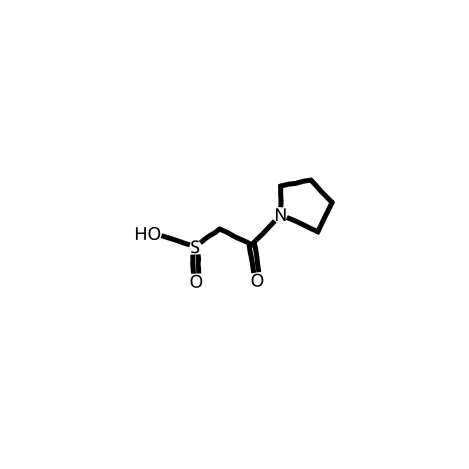 O=C(CS(=O)O)N1CCCC1